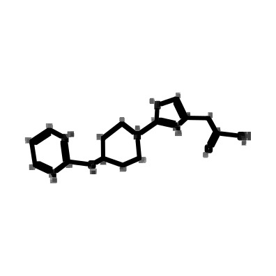 O=C(O)Cc1csc(N2CCC(Oc3ncccn3)CC2)n1